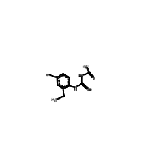 CCc1cc(Cl)ccc1NC(=N)NC(N)=O